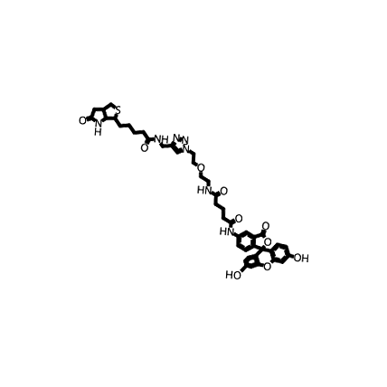 O=C(CCCC(=O)Nc1ccc2c(c1)C(=O)OC21c2ccc(O)cc2Oc2cc(O)ccc21)NCCOCCn1cc(CNC(=O)CCCCC2SCC3CC(=O)NC32)nn1